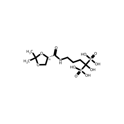 CC1(C)OC[C@@H](C(=O)NCCCC(O)(P(=O)(O)O)P(=O)(O)O)O1